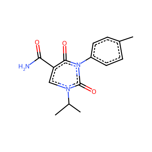 Cc1ccc(-n2c(=O)c(C(N)=O)cn(C(C)C)c2=O)cc1